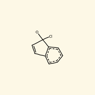 [O]C1(Cl)C=Cc2ccccc21